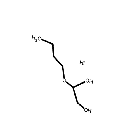 CCCCOC(O)CO.I